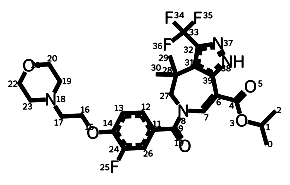 CC(C)OC(=O)C1=CN(C(=O)c2ccc(OCCN3CCOCC3)c(F)c2)CC(C)(C)c2c(C(F)(F)F)n[nH]c21